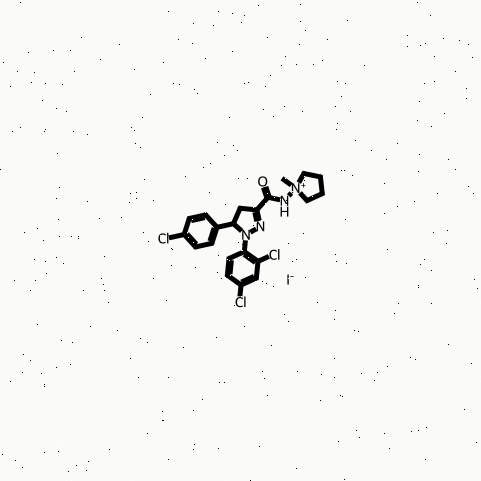 C[N+]1(NC(=O)C2=NN(c3ccc(Cl)cc3Cl)C(c3ccc(Cl)cc3)C2)CCCC1.[I-]